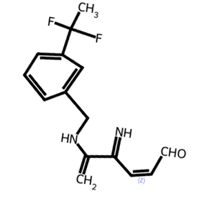 C=C(NCc1cccc(C(C)(F)F)c1)C(=N)/C=C\C=O